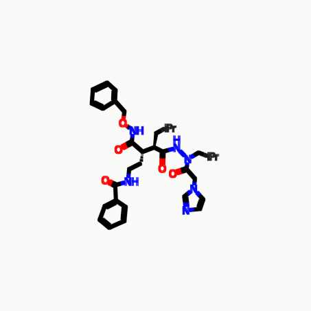 CC(C)C[C@@H](C(=O)NN(CC(C)C)C(=O)Cn1ccnc1)[C@H](CCNC(=O)c1ccccc1)C(=O)NOCc1ccccc1